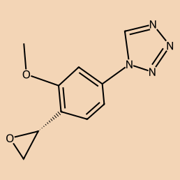 COc1cc(-n2cnnn2)ccc1[C@@H]1CO1